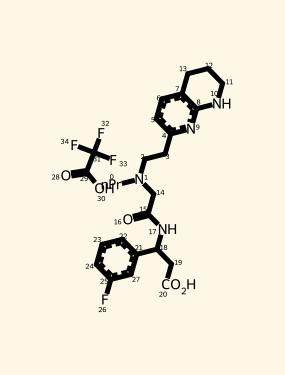 CCCN(CCc1ccc2c(n1)NCCC2)CC(=O)NC(CC(=O)O)c1cccc(F)c1.O=C(O)C(F)(F)F